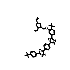 C=CC1CC(C=C)C(COc2cc(-c3nnc(-c4ccc(-c5nnc(-c6ccc(C(C)(C)C)cc6)o5)cc4)o3)ccc2C(C)(C)C)C1